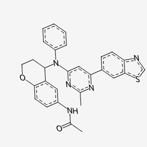 CC(=O)Nc1ccc2c(c1)C(N(c1ccccc1)c1cc(-c3ccc4ncsc4c3)nc(C)n1)CCO2